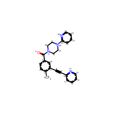 O=C(c1ccc(C(F)(F)F)c(C#Cc2ccccn2)c1)N1CCN(c2ccccn2)CC1